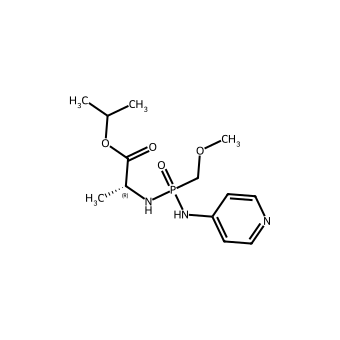 COCP(=O)(Nc1ccncc1)N[C@H](C)C(=O)OC(C)C